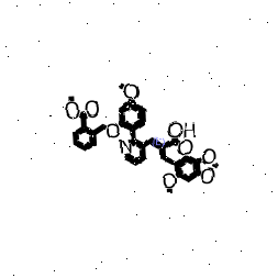 COC(=O)c1ccccc1COc1cc(OC)ccc1-c1ncccc1/C=C(\Cc1cc2c(cc1OC)OCO2)C(=O)O